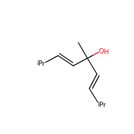 CC(C)C=CC(C)(O)C=CC(C)C